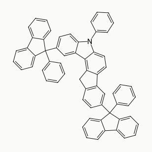 c1ccc(-n2c3ccc(C4(c5ccccc5)c5ccccc5-c5ccccc54)cc3c3c4c(ccc32)-c2cc(C3(c5ccccc5)c5ccccc5-c5ccccc53)ccc2C4)cc1